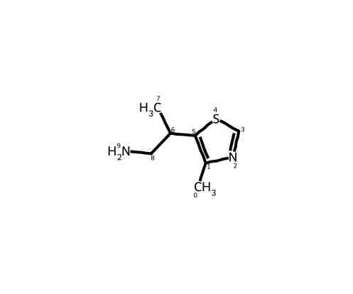 Cc1ncsc1C(C)CN